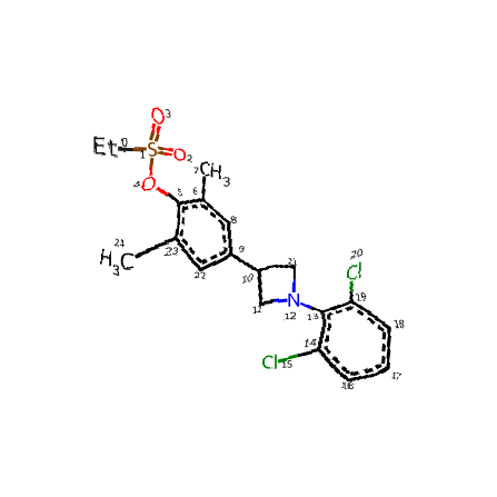 CCS(=O)(=O)Oc1c(C)cc(C2CN(c3c(Cl)cccc3Cl)C2)cc1C